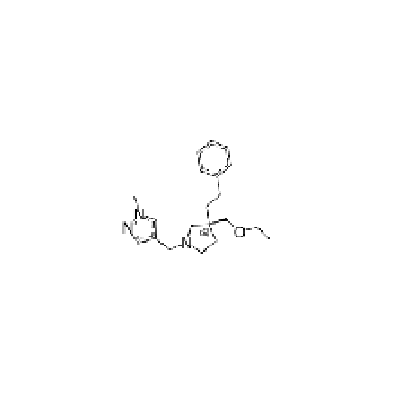 CCOC[C@@]1(CCc2ccccc2)CCN(Cc2cnn(C)c2)C1